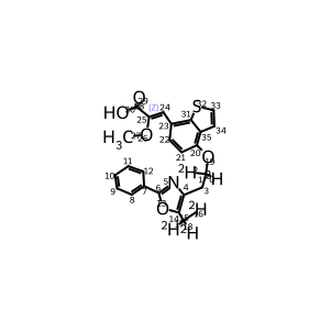 [2H]C([2H])(Cc1nc(-c2ccccc2)oc1C([2H])([2H])[2H])Oc1ccc(/C=C(\OC)C(=O)O)c2sccc12